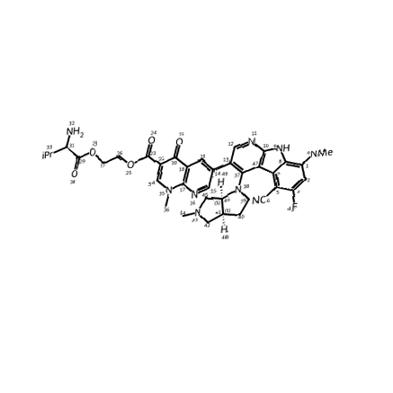 CNc1cc(F)c(C#N)c2c1[nH]c1ncc(-c3cnc4c(c3)c(=O)c(C(=O)OCCOC(=O)C(N)C(C)C)cn4C)c(N3CC[C@H]4CN(C)C[C@H]43)c12